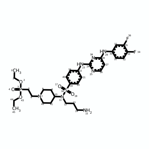 CCOP(=O)(CCN1CCC(N(CCCN)S(=O)(=O)c2ccc(Nc3nccc(Nc4ccc(F)c(F)c4)n3)cc2)CC1)OCC